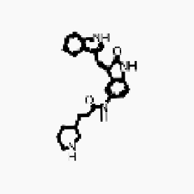 O=C(CCC1CCCNC1)Nc1ccc2c(c1)C(=Cc1c[nH]c3ccccc13)C(=O)N2